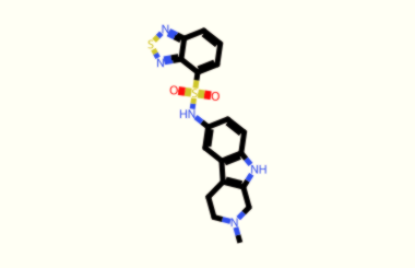 CN1CCc2c([nH]c3ccc(NS(=O)(=O)c4cccc5nsnc45)cc23)C1